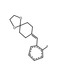 Fc1ccccc1C=C1CCC2(CC1)OCCO2